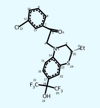 CC[C@H]1CN(CC(=O)c2cccc(Cl)c2)c2ccc(C(O)(C(F)(F)F)C(F)(F)F)cc2S1